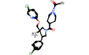 CC(C)C(=O)N1CCC(C(=O)N2CC(c3ccc(Cl)cc3)C(C)(COc3ccc(Cl)cn3)C2)CC1